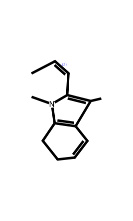 C/C=C\c1c(C)c2c(n1C)CCC=C2